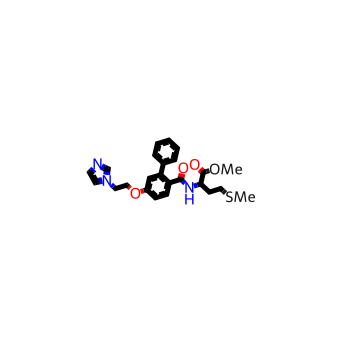 COC(=O)C(CCSC)NC(=O)c1ccc(OCCn2ccnc2)cc1-c1ccccc1